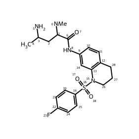 CNC(CC(C)N)C(=O)Nc1ccc2c(c1)N(S(=O)(=O)c1ccc(F)cc1)CCC2